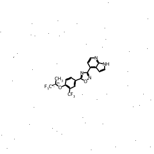 C[C@@H](Oc1ccc(-c2nc(-c3ccnc4[nH]ccc34)no2)cc1C(F)(F)F)C(F)(F)F